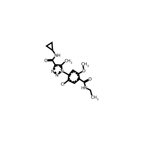 CCNC(=O)c1cc(Cl)c(-n2nnc(C(=O)NC3CC3)c2C)cc1OC